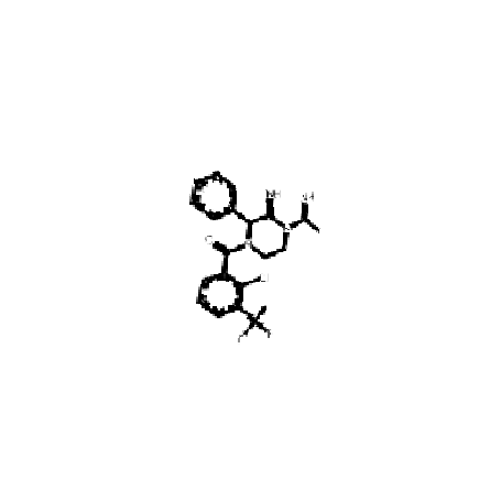 CC(=N)N1CCN(C(=O)c2cccc(C(F)(F)F)c2Cl)C(c2ccccc2)C1=N